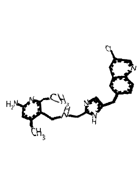 Cc1cc(N)nc(C)c1CNCc1ncc(Cc2ccc3ncc(Cl)cc3c2)[nH]1